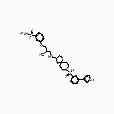 CNS(=O)(=O)c1cccc(OCC(O)CNC2COC3(CCN(S(=O)(=O)c4cccc(-c5cc[nH]c5)c4)CC3)C2)c1